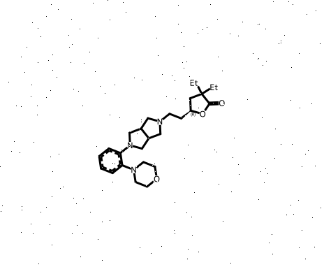 CCC1(CC)C[C@H](CCN2CC3CN(c4ccccc4N4CCOCC4)CC3C2)OC1=O